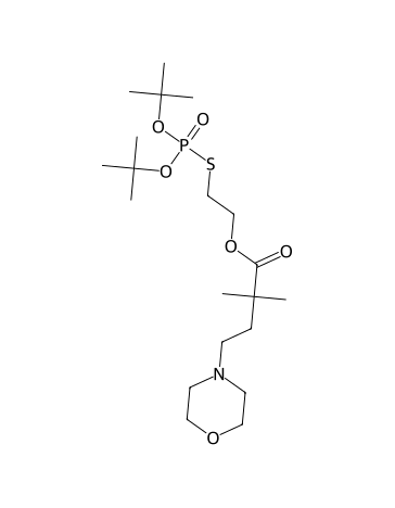 CC(C)(C)OP(=O)(OC(C)(C)C)SCCOC(=O)C(C)(C)CCN1CCOCC1